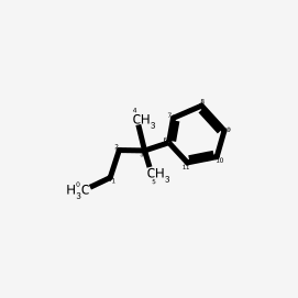 C[CH]CC(C)(C)c1ccccc1